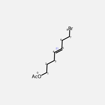 CC(=O)OCCC/C=C/CCBr